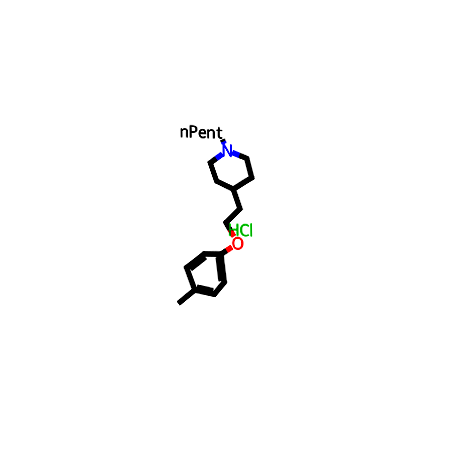 CCCCCN1CCC(CCOc2ccc(C)cc2)CC1.Cl